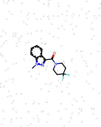 Cn1nc(C(=O)N2CCC(F)(F)CC2)c2ccccc21